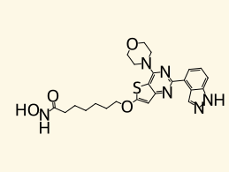 O=C(CCCCCCOc1cc2nc(-c3cccc4[nH]ncc34)nc(N3CCOCC3)c2s1)NO